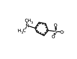 CN(C)c1ccc(S([O])(=O)=O)cc1